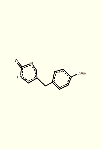 COc1ccc(Cc2cnc(=O)[nH]c2)cc1